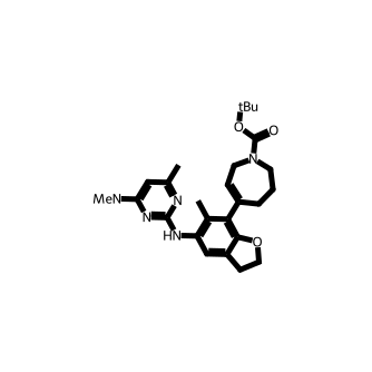 CNc1cc(C)nc(Nc2cc3c(c(C4=CCN(C(=O)OC(C)(C)C)CCC4)c2C)OCC3)n1